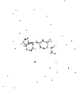 COC(=O)c1ccc(Oc2cccc3occc23)cc1Cl